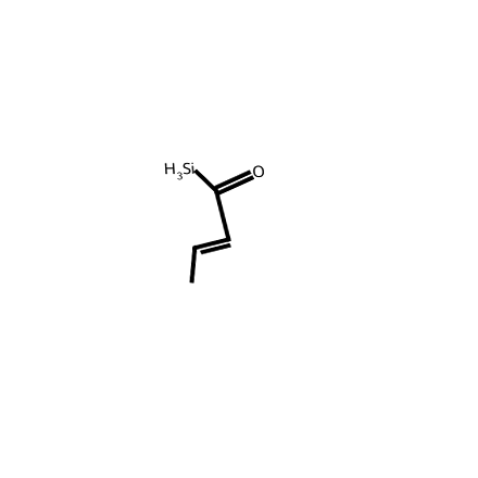 CC=CC(=O)[SiH3]